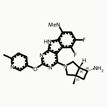 CNc1cc(F)c(F)c2c1[nH]c1nc(Oc3ccc(C)nc3)nc(N3C[C@@H]4[C@H](N)C[C@]4(C)C3)c12